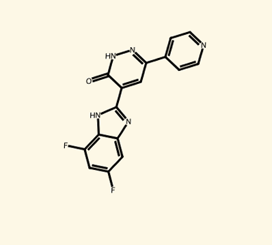 O=c1[nH]nc(-c2ccncc2)cc1-c1nc2cc(F)cc(F)c2[nH]1